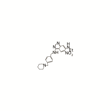 CCNc1cc2ncnc(NCc3ccc(CN4CCCCC4)cc3)c2cc1[N+](=O)[O-]